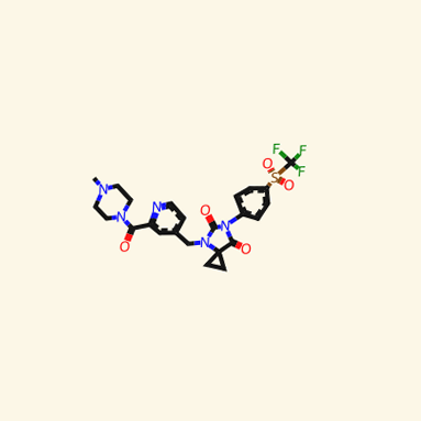 CN1CCN(C(=O)c2cc(CN3C(=O)N(c4ccc(S(=O)(=O)C(F)(F)F)cc4)C(=O)C34CC4)ccn2)CC1